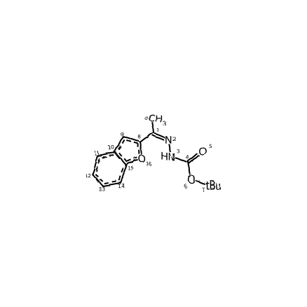 C/C(=N/NC(=O)OC(C)(C)C)c1cc2ccccc2o1